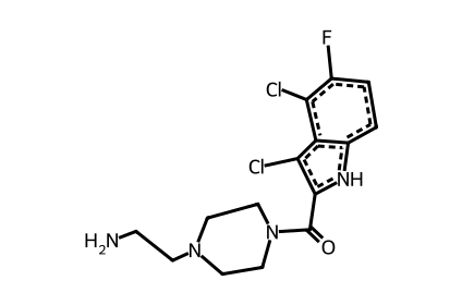 NCCN1CCN(C(=O)c2[nH]c3ccc(F)c(Cl)c3c2Cl)CC1